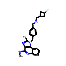 CCCCc1nc2c(NC(C)(C)C)nc3ccccc3c2n1Cc1ccc(CNCC2CC(F)C2)cc1